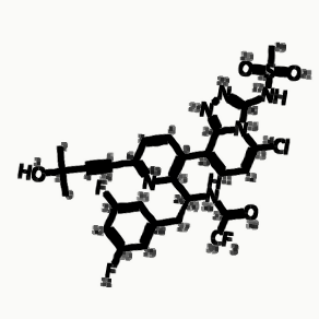 CC(C)(O)C#Cc1ccc(-c2ccc(Cl)n3c(NS(C)(=O)=O)nnc23)c([C@H](Cc2cc(F)cc(F)c2)NC(=O)C(F)(F)F)n1